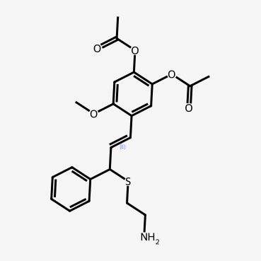 COc1cc(OC(C)=O)c(OC(C)=O)cc1/C=C/C(SCCN)c1ccccc1